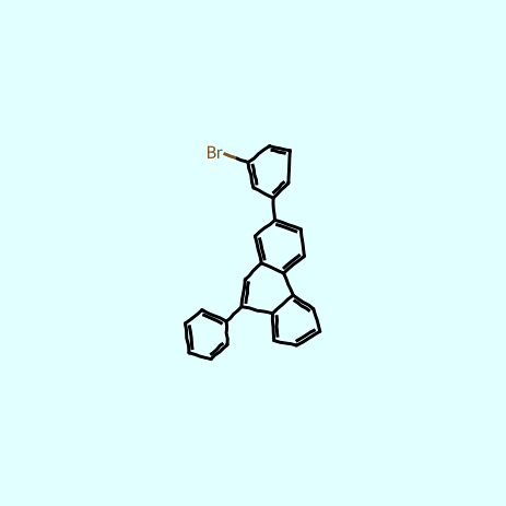 Brc1cccc(-c2ccc3c(c2)cc(-c2ccccc2)c2ccccc23)c1